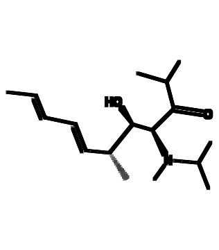 CC=CC=C[C@@H](C)[C@@H](O)[C@@H](C(=O)C(C)C)N(C)C(C)C